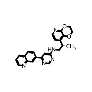 C[C@H](CNc1cc(-c2ccc3cccnc3c2)ncn1)c1ccnc2c1OCCO2